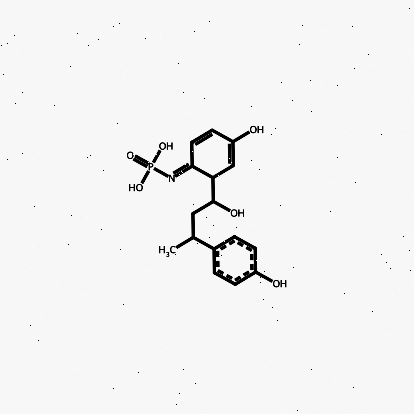 CC(CC(O)C1C=C(O)C=CC1=NP(=O)(O)O)c1ccc(O)cc1